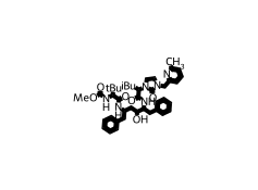 CCC(C)C(C(=O)NC(Cc1ccccc1)C(O)CC(Cc1ccccc1)NC(=O)C(NC(=O)OC)C(C)(C)C)N1CCN(Cc2cccc(C)n2)C1=O